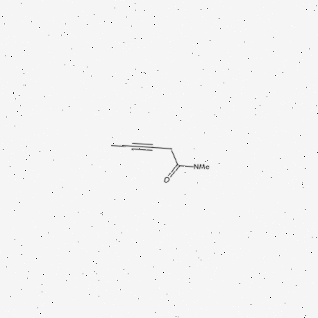 [CH2]NC(=O)CC#CC